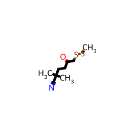 CSSCC(=O)CCC(C)(C)C#N